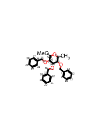 CO[C@H]1O[C@H](C)[C@@H](OCc2ccccc2)[C@H](OCc2ccccc2)[C@H]1OCc1ccccc1